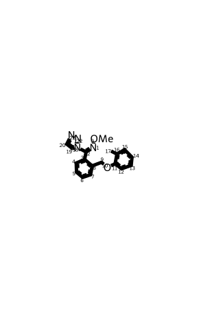 CON=C(c1ccccc1COc1ccccc1C)n1ccnn1